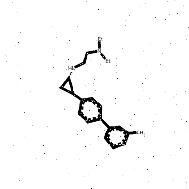 CCN(CC)CCN[C@H]1CC1c1ccc(-c2cccc(C)c2)cc1